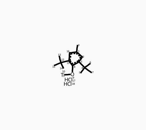 Cc1cc(C(C)(C)C)c([O][Ti])c(C(C)(C)C)c1.Cl.Cl